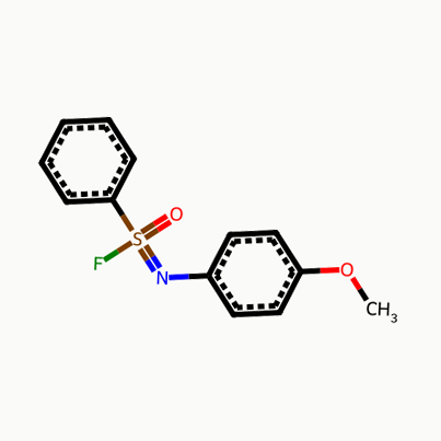 COc1ccc(N=S(=O)(F)c2ccccc2)cc1